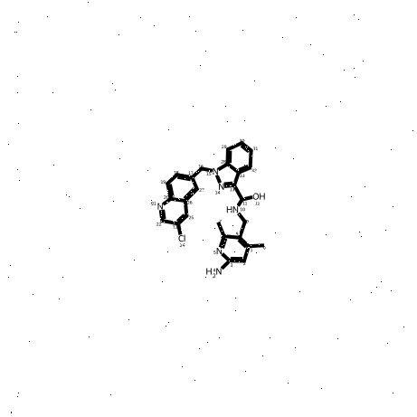 Cc1cc(N)nc(C)c1CNC(O)c1nn(Cc2ccc3ncc(Cl)cc3c2)c2ccccc12